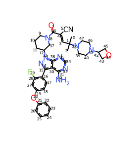 CC(C)(C=C(C#N)C(=O)N1CCCC(n2nc(-c3ccc(Oc4ccccc4)cc3F)c3c(N)ncnc32)C1)N1CCN(C2COC2)CC1